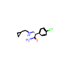 NC(=O)[C@H](CNCC1CC1)c1ccc(Cl)cc1